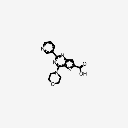 O=C(O)c1cc2nc(-c3cccnc3)nc(N3CCOCC3)c2s1